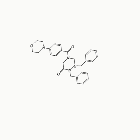 O=C(c1ccc(N2CCOCC2)cc1)N1CC(=O)N(Cc2ccccc2)[C@@H](Cc2ccccc2)C1